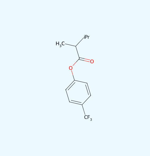 CC(C)C(C)C(=O)Oc1ccc(C(F)(F)F)cc1